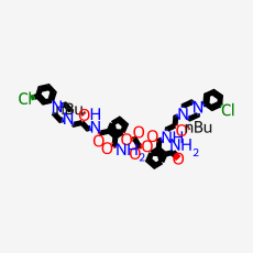 CCCCOC(CNC(=O)C1C2C=CC(OC(=O)C(=O)OC34C=CC(C3)C(C(N)=O)C4C(=O)NCC(CN3CCN(c4cccc(Cl)c4)CC3)OCCCC)(C2)C1C(N)=O)CN1CCN(c2cccc(Cl)c2)CC1